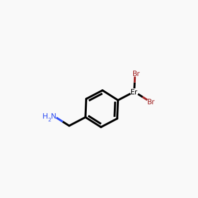 NCc1cc[c]([Er]([Br])[Br])cc1